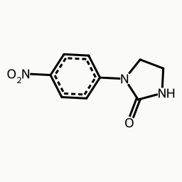 O=C1NCCN1c1ccc([N+](=O)[O-])cc1